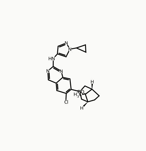 C[C@]1(O)[C@@H]2CC[C@H]1CN(c1cc3nc(Nc4cnn(C5CC5)c4)ncc3cc1Cl)C2